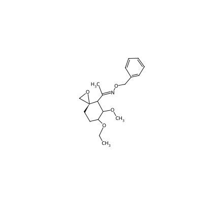 CCOC1CC[C@]2(CO2)C(/C(C)=N/OCc2ccccc2)C1OC